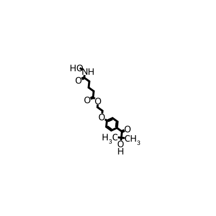 CC(C)(O)C(=O)c1ccc(OCCOC(=O)CCCC(=O)NO)cc1